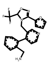 NCc1ccccc1-c1ccncc1CN1C(c2ccco2)=NOC1C(F)(F)F